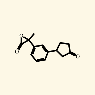 CC1(c2cccc(C3CCC(=O)C3)c2)OC1=O